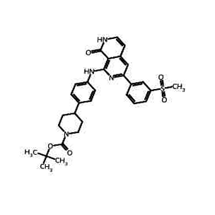 CC(C)(C)OC(=O)N1CCC(c2ccc(Nc3nc(-c4cccc(S(C)(=O)=O)c4)cc4cc[nH]c(=O)c34)cc2)CC1